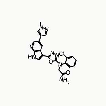 Cn1cc(-c2cnc3[nH]cc(-c4nnc(N(CC(N)=O)c5ccccc5Cl)o4)c3c2)cn1